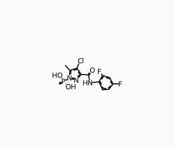 C=P(O)(O)n1nc(C(=O)Nc2ccc(F)cc2F)c(Cl)c1C